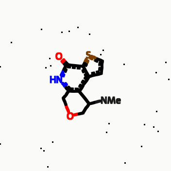 CNC1COCc2[nH]c(=O)c3sccc3c21